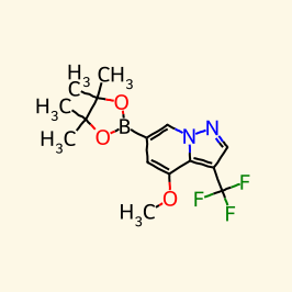 COc1cc(B2OC(C)(C)C(C)(C)O2)cn2ncc(C(F)(F)F)c12